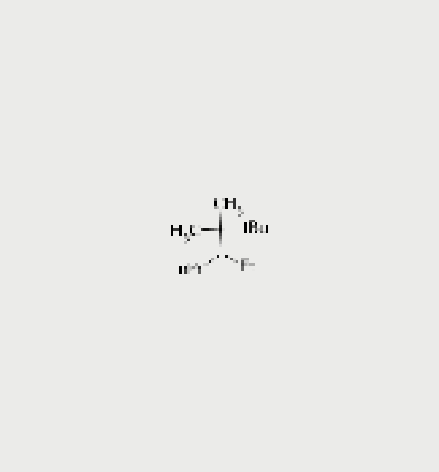 CCC[C](CC)C(C)(C)C(C)(C)C